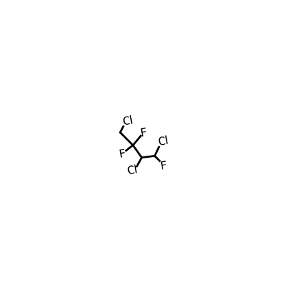 FC(Cl)C(Cl)C(F)(F)CCl